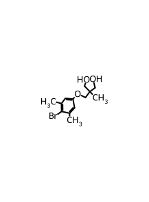 Cc1cc(OCC(C)(CO)CO)cc(C)c1Br